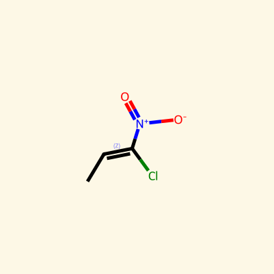 C/C=C(\Cl)[N+](=O)[O-]